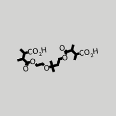 CC(C(=O)O)C(C)C(=O)OCCOC(C)(C)CCOC(=O)C(C)C(C)C(=O)O